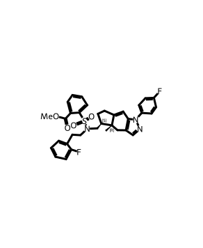 COC(=O)c1ccccc1S(=O)(=O)N(CCc1ccccc1F)C[C@H]1CCC2=Cc3c(cnn3-c3ccc(F)cc3)C[C@@]21C